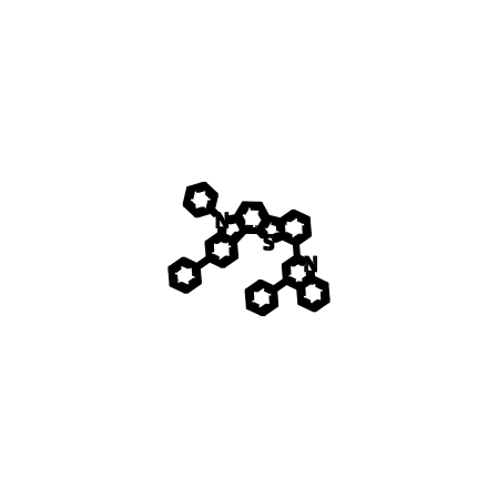 c1ccc(-c2ccc3c4c5sc6c(-c7cc(-c8ccccc8)c8ccccc8n7)cccc6c5ccc4n(-c4ccccc4)c3c2)cc1